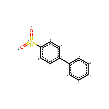 O=[SH](=O)c1c[c]c(-c2ccccc2)cc1